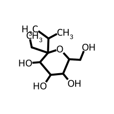 CCC1(C(C)C)OC(CO)C(O)C(O)C1O